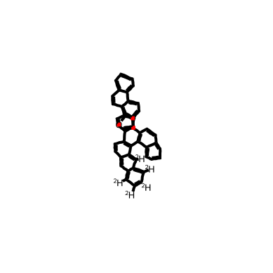 [2H]c1c([2H])c([2H])c2c([2H])c3c(-c4c(-c5coc6c5ccc5c7ccccc7ccc56)ccc5ccccc45)c(-c4ccccc4)ccc3cc2c1[2H]